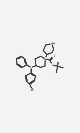 CC(C)(C)OC(=O)[N+]1(C2CCNCC2)CCC(N(c2ccccc2)c2ccc(Br)cc2)CC1